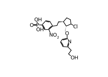 O=[N+]([O-])c1cc(P(=O)(O)O)ccc1CC[C@H]1CCC(Cl)[C@@H]1COc1cccc(CCO)n1